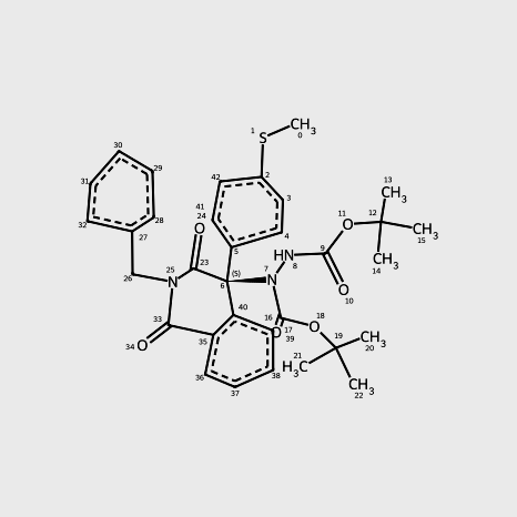 CSc1ccc([C@@]2(N(NC(=O)OC(C)(C)C)C(=O)OC(C)(C)C)C(=O)N(Cc3ccccc3)C(=O)c3ccccc32)cc1